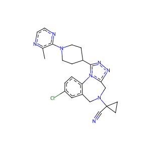 Cc1nccnc1N1CCC(c2nnc3n2-c2ccc(Cl)cc2CN(C2(C#N)CC2)C3)CC1